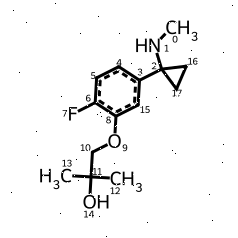 CNC1(c2ccc(F)c(OCC(C)(C)O)c2)CC1